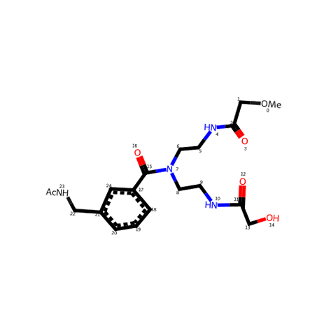 COCC(=O)NCCN(CCNC(=O)CO)C(=O)c1cccc(CNC(C)=O)c1